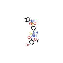 Cc1ccc(NS(=O)(=O)c2ccc(NC(=S)NC(=O)c3cc(Br)ccc3OC(C)C)cc2)cc1C